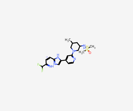 CC1CC(N[SH](C)(C)=O)CN(c2cc(-c3cnc(/C=C\C(=N)C(F)F)[nH]3)ccn2)C1